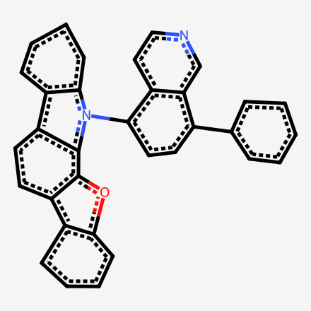 c1ccc(-c2ccc(-n3c4ccccc4c4ccc5c6ccccc6oc5c43)c3ccncc23)cc1